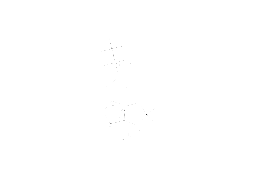 CC1(C)O[C@@H]2[C@@H](CO[Si](C)(C)C(C)(C)C)OC[C@]2(C)O1